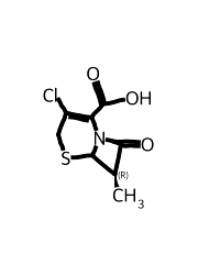 C[C@@H]1C(=O)N2C(C(=O)O)=C(Cl)CSC12